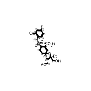 CC[C@@]1(CO)OC2(C=C(C(=O)O)C(S(=O)(=O)Nc3ccc(F)cc3Cl)CC2)O[C@H]1CO